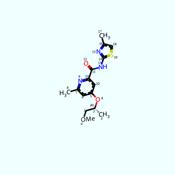 COC[C@@H](C)Oc1cc(C)nc(C(=O)Nc2nc(C)cs2)c1